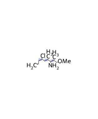 C=C\C=C(Cl)/C=C(C)/C(N)=C(\C)COC